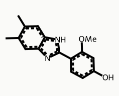 COc1cc(O)ccc1-c1nc2cc(C)c(C)cc2[nH]1